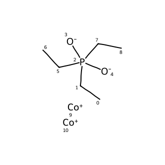 CCP([O-])([O-])(CC)CC.[Co+].[Co+]